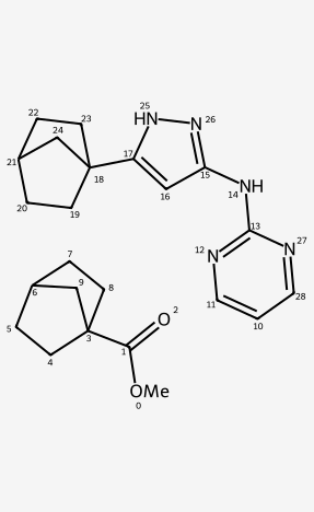 COC(=O)C12CCC(CC1)C2.c1cnc(Nc2cc(C34CCC(CC3)C4)[nH]n2)nc1